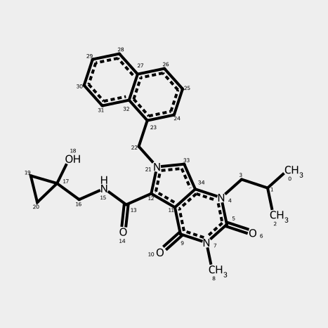 CC(C)Cn1c(=O)n(C)c(=O)c2c(C(=O)NCC3(O)CC3)n(Cc3cccc4ccccc34)cc21